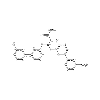 CCOC(=O)c1cccc(-c2cccc(CN(Cc3cccc(-c4cccc(C(C)=O)n4)n3)C(C(C)=O)C(=O)OC)n2)n1